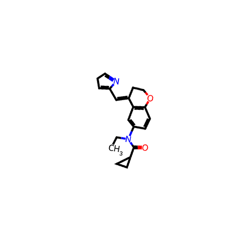 CCN(C(=O)C1CC1)c1ccc2c(c1)/C(=C/C1=CCC=N1)CCO2